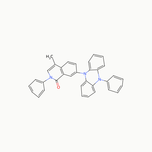 Cc1cn(-c2ccccc2)c(=O)c2cc(N3c4ccccc4N(c4ccccc4)c4ccccc43)ccc12